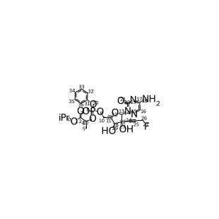 CC(C)OC(=O)[C@H](C)OP(=O)(OC[C@H]1OC(n2ncc(N)nc2=O)C(O)(C#CCF)C1O)Oc1ccccc1